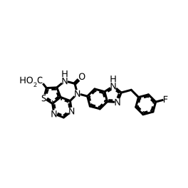 O=C(O)c1sc2ncnc3c2c1NC(=O)N3c1ccc2nc(Cc3cccc(F)c3)[nH]c2c1